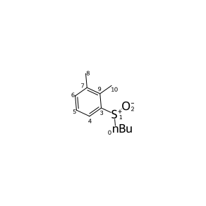 CCCC[S+]([O-])c1cccc(C)c1C